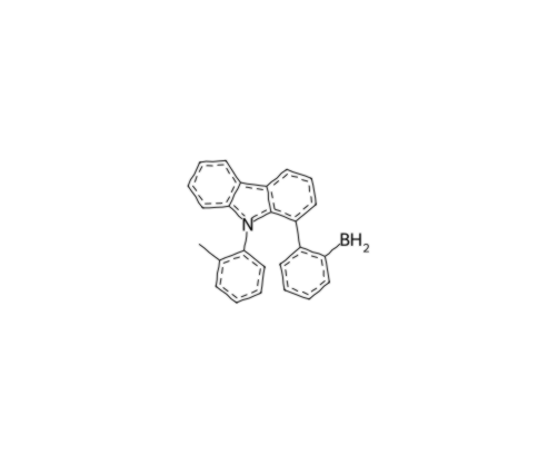 Bc1ccccc1-c1cccc2c3ccccc3n(-c3ccccc3C)c12